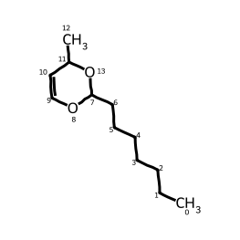 CCCCCCCC1OC=CC(C)O1